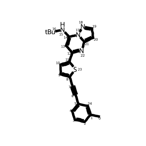 Cc1cccc(C#Cc2ccc(-c3cc(NC(C)(C)C)n4nccc4n3)s2)c1